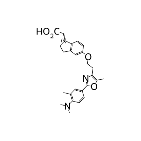 Cc1cc(-c2nc(CCOc3ccc4c(c3)CC[C@H]4CC(=O)O)c(C)o2)ccc1N(C)C